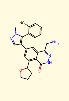 Cn1ncc(-c2cc(C3CCCO3)c3c(=O)[nH]nc(CN)c3c2)c1-c1ccccc1C#N